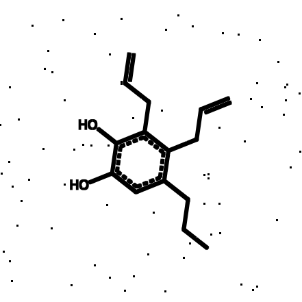 C=CCc1c(CCC)cc(O)c(O)c1CC=C